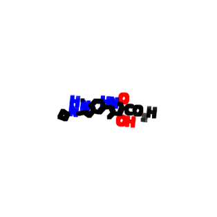 Cc1c(-c2ccc3c(c2)cc(CNC2CCC2)n3C)[nH]c(=O)c(C(=O)O)c1O